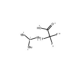 CC(C)(C)P(C(C)(C)C)C(C)(C)C.O=C(O)C(F)(F)F